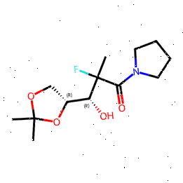 CC1(C)OC[C@H]([C@@H](O)C(C)(F)C(=O)N2CCCC2)O1